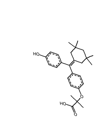 CC1(C)CC(=C(c2ccc(O)cc2)c2ccc(OC(C)(C)C(=O)O)cc2)CC(C)(C)C1